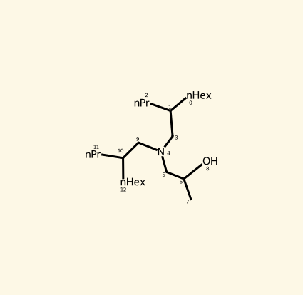 CCCCCCC(CCC)CN(CC(C)O)CC(CCC)CCCCCC